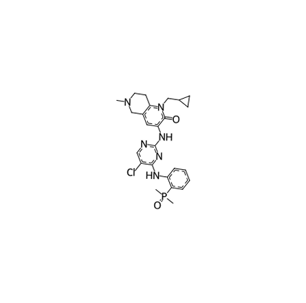 CN1CCc2c(cc(Nc3ncc(Cl)c(Nc4ccccc4P(C)(C)=O)n3)c(=O)n2CC2CC2)C1